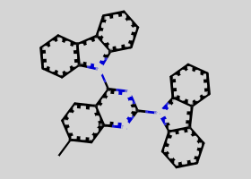 Cc1ccc2c(-n3c4ccccc4c4ccccc43)nc(-n3c4ccccc4c4ccccc43)nc2c1